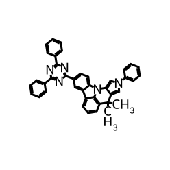 CC1(C)c2cn(-c3ccccc3)cc2-n2c3ccc(-c4nc(-c5ccccc5)nc(-c5ccccc5)n4)cc3c3cccc1c32